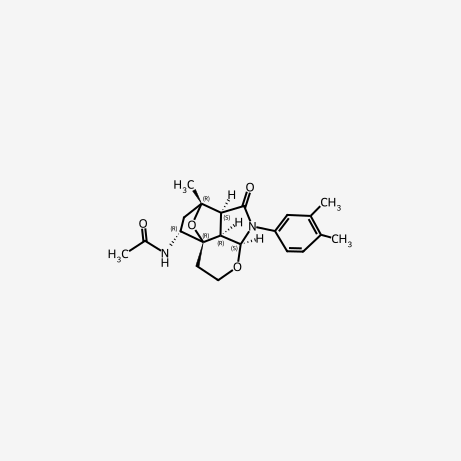 CC(=O)N[C@@H]1C[C@@]2(C)O[C@@]13CCO[C@H]1[C@@H]3[C@@H]2C(=O)N1c1ccc(C)c(C)c1